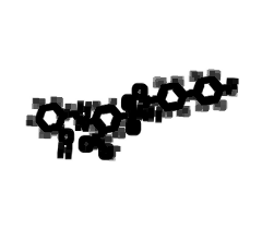 O=C(NS(=O)(=O)c1ccc(NC[C@@H]2CCCC[C@H]2O)c([N+](=O)[O-])c1)c1ccc(-c2ccc(F)cc2)cc1